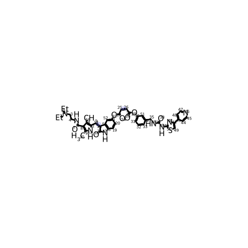 CCN(CC)CCNC(=O)c1c(C)[nH]c(/C=C2\C(=O)Nc3ccc(OC(=O)/C=C\C(=O)Oc4cccc(CNC(=O)Nc5nc(-c6ccncc6)cs5)c4)cc32)c1C